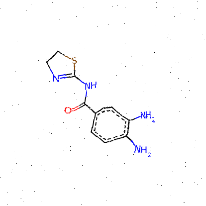 Nc1ccc(C(=O)NC2=NCCS2)cc1N